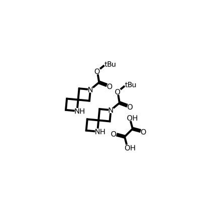 CC(C)(C)OC(=O)N1CC2(CCN2)C1.CC(C)(C)OC(=O)N1CC2(CCN2)C1.O=C(O)C(=O)O